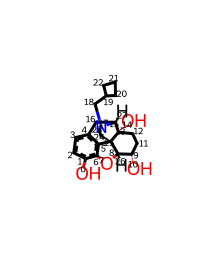 Oc1ccc2c3c1O[C@H]1[C@@H](O)CC[C@]4(O)[C@@H](C2)N(CC2CCC2)CC[C@]314